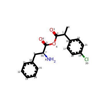 CC(C(=O)OC(=O)[C@@H](N)Cc1ccccc1)c1ccc(Cl)cc1